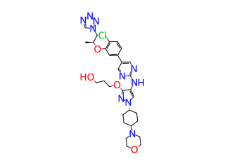 C[C@@H](Cn1cnnn1)Oc1cc(-c2cnc(Nc3cn([C@H]4CC[C@H](N5CCOCC5)CC4)nc3OCCCO)nc2)ccc1Cl